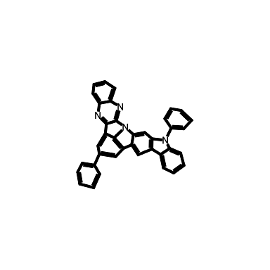 c1ccc(-c2cc3c4cc5c6ccccc6n(-c6ccccc6)c5cc4n4c5nc6ccccc6nc5c(c2)c34)cc1